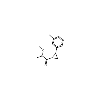 CON(C)C(=O)C1CC1c1cncc(C)c1